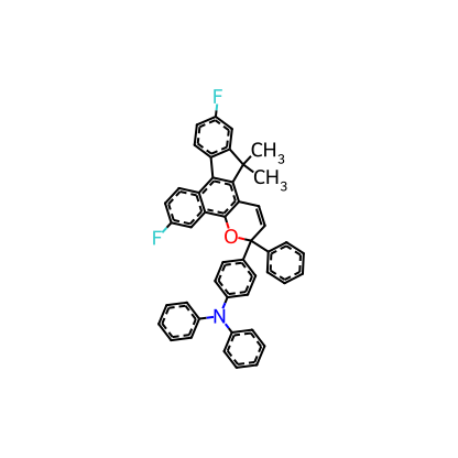 CC1(C)c2cc(F)ccc2-c2c1c1c(c3cc(F)ccc23)OC(c2ccccc2)(c2ccc(N(c3ccccc3)c3ccccc3)cc2)C=C1